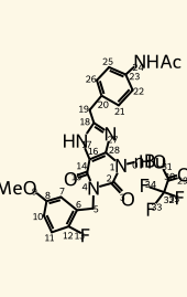 CCCCn1c(=O)n(Cc2cc(OC)ccc2F)c(=O)c2[nH]c(Cc3ccc(NC(C)=O)cc3)nc21.O=C(O)C(F)(F)F